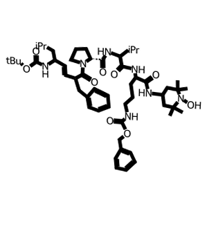 CC(C)CC(/C=C/C(Cc1ccccc1)C(=O)N1CCC[C@@H]1C(=O)NC(C(=O)NC(CCCNC(=O)OCc1ccccc1)C(=O)NC1CC(C)(C)N(O)C(C)(C)C1)C(C)C)NC(=O)OC(C)(C)C